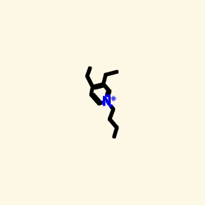 CCCC[n+]1ccc(CC)c(CC)c1